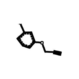 C#CCOc1cccc([CH2])c1